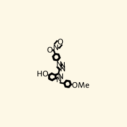 COc1ccc(Cn2nc(-c3cn(-c4ccc(C(=O)N5CCOCC5)cc4)nn3)c3cc(O)ccc32)cc1